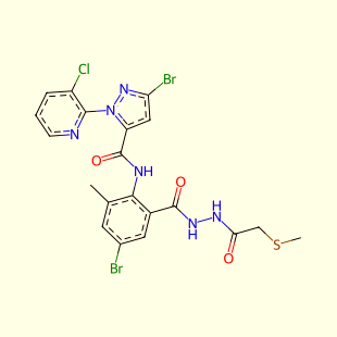 CSCC(=O)NNC(=O)c1cc(Br)cc(C)c1NC(=O)c1cc(Br)nn1-c1ncccc1Cl